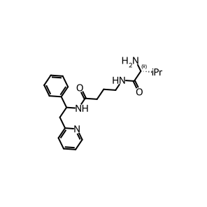 CC(C)[C@@H](N)C(=O)NCCCC(=O)NC(Cc1ccccn1)c1ccccc1